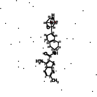 Cc1ccc2c(N)c(C(=O)N[C@H]3CCc4cc(N5CC6COC(CN6)C5)ccc4C3)sc2n1